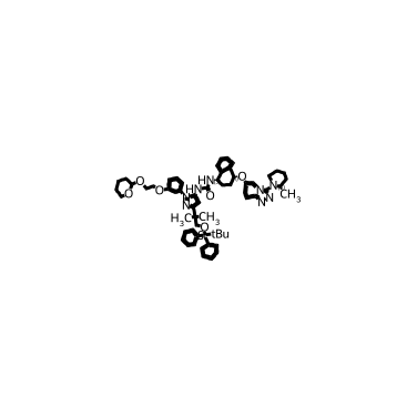 C[C@H]1CCCCN1c1nnc2ccc(O[C@@H]3CC[C@H](NC(=O)Nc4cc(C(C)(C)CO[Si](c5ccccc5)(c5ccccc5)C(C)(C)C)nn4-c4cccc(OCCOC5CCCCO5)c4)c4ccccc43)cn12